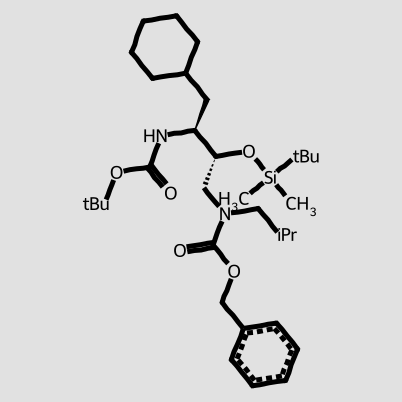 CC(C)CN(C[C@@H](O[Si](C)(C)C(C)(C)C)[C@H](CC1CCCCC1)NC(=O)OC(C)(C)C)C(=O)OCc1ccccc1